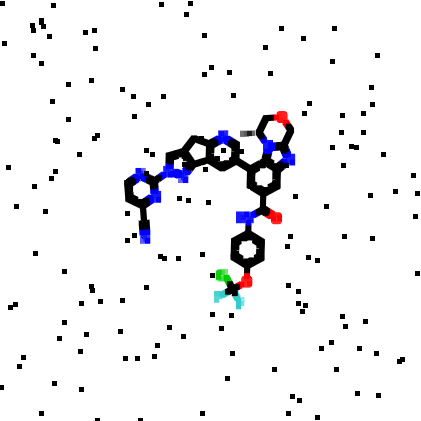 C[C@@H]1COCc2nc3cc(C(=O)Nc4ccc(OC(F)(F)Cl)cc4)cc(-c4cnc5c(c4)-c4nn(-c6nccc(C#N)n6)cc4C5)c3n21